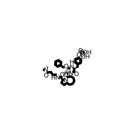 CN(C)C(=O)CCCNC(=O)C1CCC2CCCCC(NC(=O)[C@H](Cc3ccc(OP(=O)(O)O)cc3)NC(=O)OCc3ccccc3)C(=O)N21